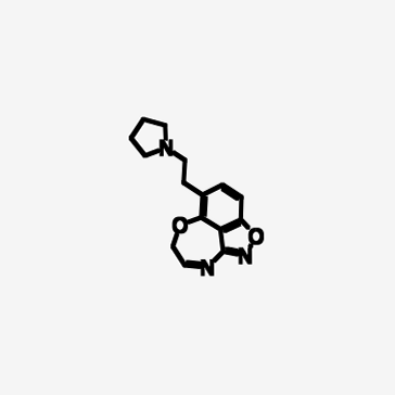 C1=Nc2noc3ccc(CCN4CCCC4)c(c23)OC1